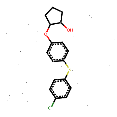 OC1CCCC1Oc1ccc(Sc2ccc(Cl)cc2)cc1